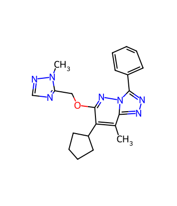 Cc1c(C2CCCC2)c(OCc2ncnn2C)nn2c(-c3ccccc3)nnc12